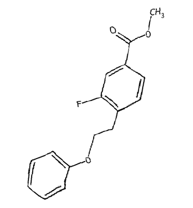 COC(=O)c1ccc(CCOc2ccccc2)c(F)c1